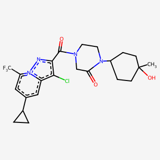 CC1(O)CCC(N2CCN(C(=O)c3nn4c(C(F)(F)F)cc(C5CC5)cc4c3Cl)CC2=O)CC1